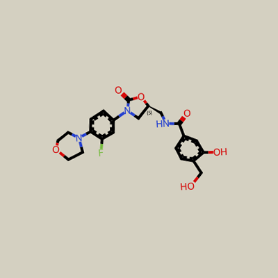 O=C(NC[C@H]1CN(c2ccc(N3CCOCC3)c(F)c2)C(=O)O1)c1ccc(CO)c(O)c1